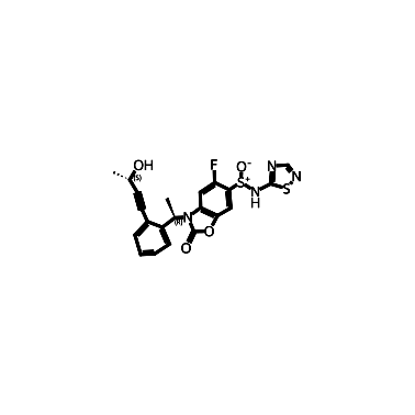 C[C@H](O)C#Cc1ccccc1[C@@H](C)n1c(=O)oc2cc([S+]([O-])Nc3ncns3)c(F)cc21